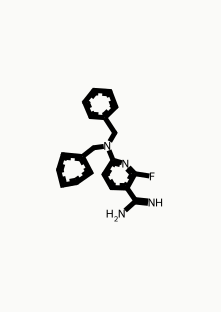 N=C(N)c1ccc(N(Cc2ccccc2)Cc2ccccc2)nc1F